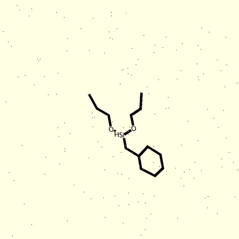 CCCO[SiH](CC1CCCCC1)OCCC